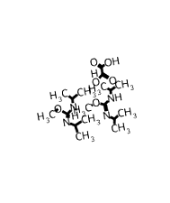 COC(=NC(C)C)NC(C)C.COC(=NC(C)C)NC(C)C.O=C(O)C(=O)O